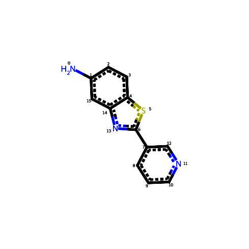 Nc1ccc2sc(-c3cccnc3)nc2c1